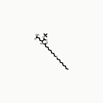 CCCCCCCCSCCCCCCCC(=O)NC(CCC(=O)O)C(=O)OC(C)(C)C